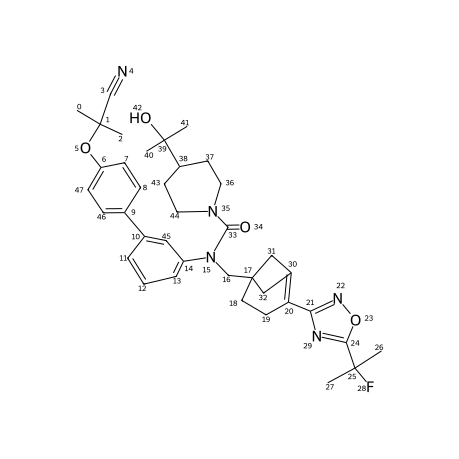 CC(C)(C#N)Oc1ccc(-c2cccc(N(CC34CCC(c5noc(C(C)(C)F)n5)=C(C3)C4)C(=O)N3CCC(C(C)(C)O)CC3)c2)cc1